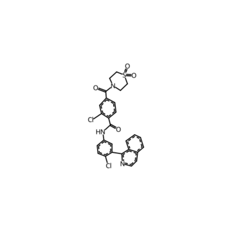 O=C(Nc1ccc(Cl)c(-c2nccc3ccccc23)c1)c1ccc(C(=O)N2CCS(=O)(=O)CC2)cc1Cl